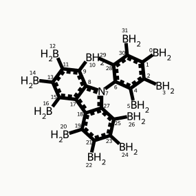 Bc1c(B)c(B)c(-n2c3c(B)c(B)c(B)c(B)c3c3c(B)c(B)c(B)c(B)c32)c(C)c1B